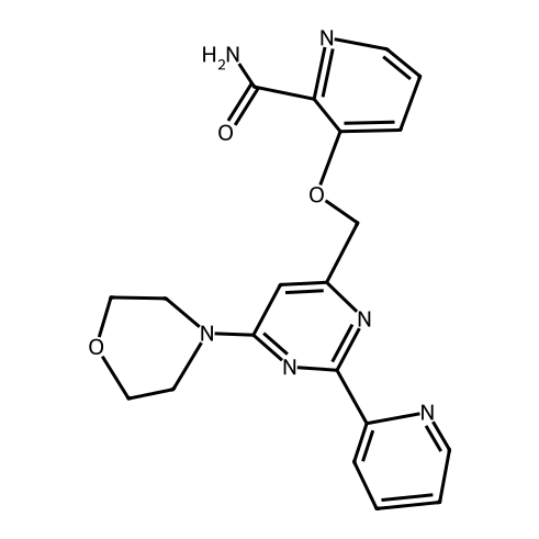 NC(=O)c1ncccc1OCc1cc(N2CCOCC2)nc(-c2ccccn2)n1